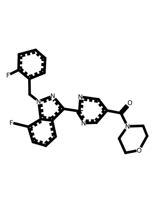 O=C(c1cnc(-c2nn(Cc3ccccc3F)c3c(F)cccc23)nc1)N1CCOCC1